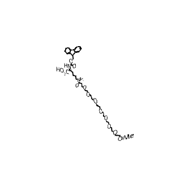 COCCOCCOCCOCCOCCOCCOCCOCCC(=O)NCCCC[C@H](NC(=O)OCC1c2ccccc2-c2ccccc21)C(=O)O